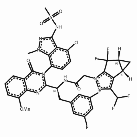 COc1cccc2c(=O)n(-c3ccc(Cl)c4c(NS(C)(=O)=O)nn(C)c34)c([C@H](Cc3cc(F)cc(F)c3)NC(=O)Cn3nc(C(F)F)c4c3C(F)(F)[C@@H]3C[C@H]43)nc12